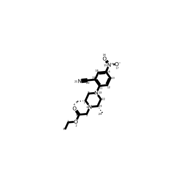 CCOC(=O)CN1[C@H](C)CN(c2ccc([N+](=O)[O-])cc2C#N)C[C@@H]1C